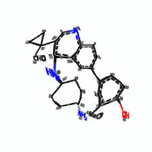 COc1cc(-c2ccc3ncc(C4(C=O)CC4)c(N[C@H]4CC[C@H](N)CC4)c3c2)ccc1O